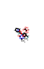 Cc1nc(=O)n(C[C@H](F)CN2C3CCC2CC(OCc2ccc(CF)cc2)C3)c(=O)n1C.O=C(O)C(=O)O